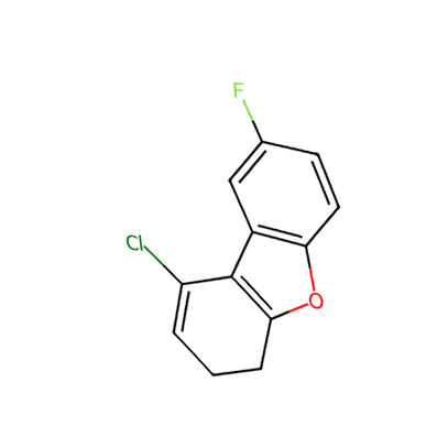 Fc1ccc2oc3c(c2c1)C(Cl)=CCC3